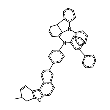 CC1C=Cc2c(oc3ccc4cc(-c5ccc(N(C6=C7C(CC=C6)c6ccccc6N7c6ccccc6)c6cccc(-c7ccccc7)c6)cc5)ccc4c23)C1